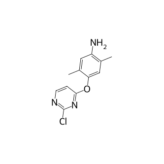 Cc1cc(Oc2ccnc(Cl)n2)c(C)cc1N